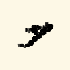 COc1c(C)cc(C[C@@H](OC(=O)N2CCC(N3CCc4ccccc4NC3=O)CC2)C(=O)N2CCC(N3CCN(CC(=O)O)CC3)CC2)cc1C